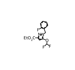 CCOC(=O)c1cc(OC(F)F)n(Cc2ccccc2F)n1